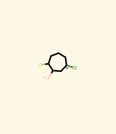 BC1C[C@H](Cl)CCCC1F